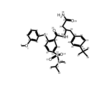 COc1cccc(Sc2ccc(S(=O)(=O)N(C)C(C)C)cc2C(=O)NC(CC(N)=O)Cc2ccc(C(C)(C)C)cc2)c1